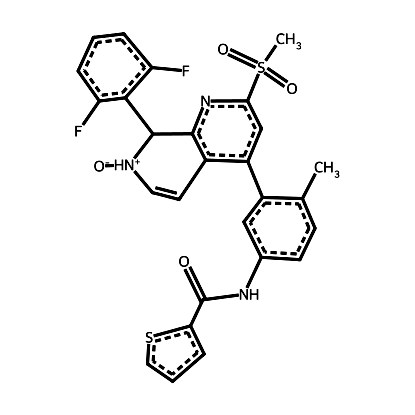 Cc1ccc(NC(=O)c2cccs2)cc1-c1cc(S(C)(=O)=O)nc2c1C=C[NH+]([O-])C2c1c(F)cccc1F